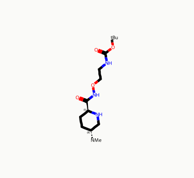 CN[C@@H]1CC[C@@H](C(=O)NOCCNC(=O)OC(C)(C)C)NC1